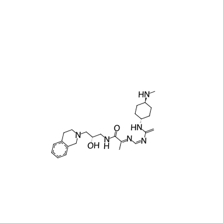 C=C(/N=C\N=C(/C)C(=O)NC[C@H](O)CN1CCc2ccccc2C1)N[C@H]1CC[C@H](NC)CC1